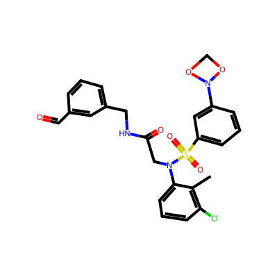 Cc1c(Cl)cccc1N(CC(=O)NCc1cccc(C=O)c1)S(=O)(=O)c1cccc(N2OCO2)c1